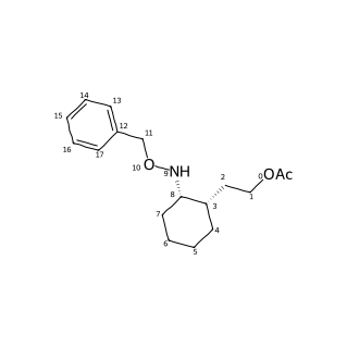 CC(=O)OCC[C@@H]1CCCC[C@@H]1NOCc1ccccc1